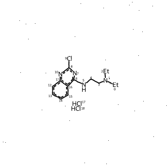 CCN(CC)CCNc1nc(Cl)nc2ccccc12.Cl.Cl